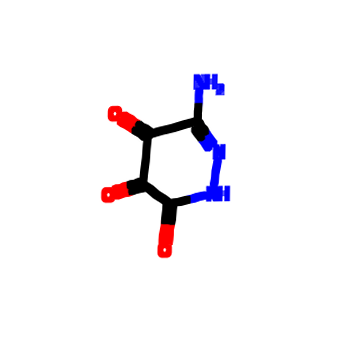 NC1=NNC(=O)C(=O)C1=O